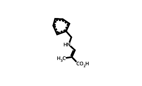 CC(=CNCc1ccccc1)C(=O)O